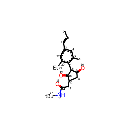 C/C=C/c1cc(C)c(C2C(=O)CC(CC(=O)NC(C)(C)C)C2=O)c(CC)c1